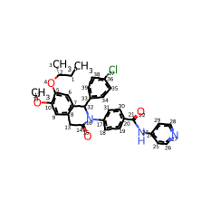 CC[C@@H](C)Oc1cc2c(cc1OC)CC(=O)N(c1ccc(C(=O)Nc3ccncc3)cc1)C2c1ccc(Cl)cc1